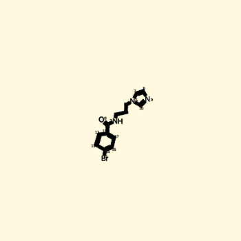 O=C(NCCCn1ccnc1)c1ccc(Br)cc1